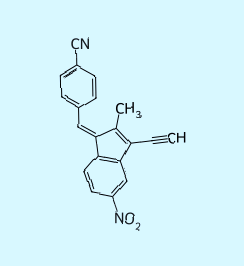 C#CC1=C(C)C(=Cc2ccc(C#N)cc2)c2ccc([N+](=O)[O-])cc21